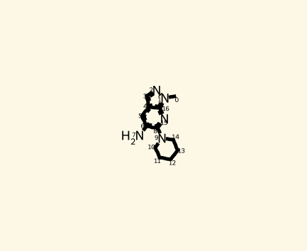 Cn1ncc2cc(N)c(N3CCCCC3)nc21